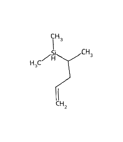 C=CCC(C)[SiH](C)C